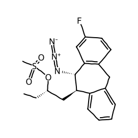 CC[C@@H](C[C@@H]1c2ccccc2Cc2ccc(F)cc2[C@H]1N=[N+]=[N-])OS(C)(=O)=O